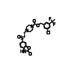 CC(F)(F)c1cc(Cl)cc(COC(=O)N2CCN(CC[S+]([O-])c3ccc4[nH]c(=O)oc4c3)CC2)c1